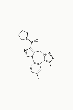 Cc1ccc2c(c1)-c1c(C)nnn1Cc1c(C(=O)N3CCCC3)ncn1-2